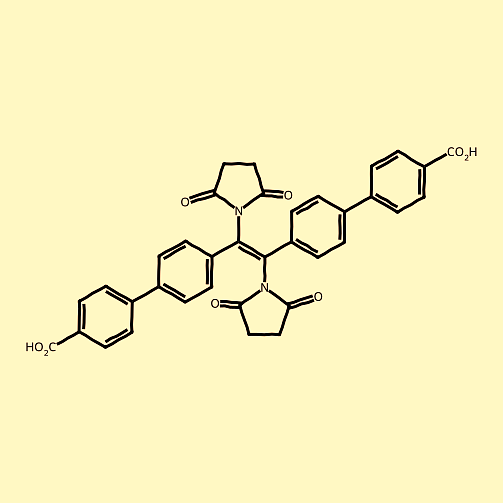 O=C(O)c1ccc(-c2ccc(C(=C(c3ccc(-c4ccc(C(=O)O)cc4)cc3)N3C(=O)CCC3=O)N3C(=O)CCC3=O)cc2)cc1